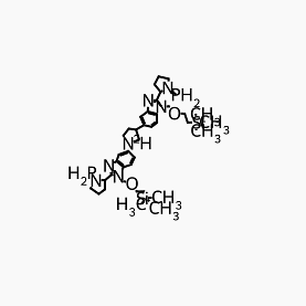 [2H]C1C(c2ccc3c(c2)nc(C2CCCN2P)n3COCC[Si](C)(C)C)CCN1c1ccc2c(c1)nc(C1CCCN1P)n2COCC[Si](C)(C)C